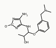 CC(O)C(Nc1n[s+]([O-])nc1N)Oc1cccc(CN(C)C)c1